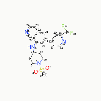 CCS(=O)(=O)N1CCC(Nc2cc(-c3ccnc(C(F)F)c3)cc3ccncc23)CC1